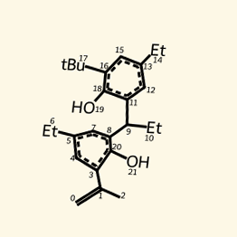 C=C(C)c1cc(CC)cc(C(CC)c2cc(CC)cc(C(C)(C)C)c2O)c1O